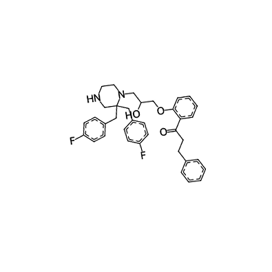 O=C(CCc1ccccc1)c1ccccc1OCC(O)CN1CCNCC1(Cc1ccc(F)cc1)Cc1ccc(F)cc1